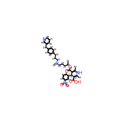 CC1=C(C(=O)O)C(c2cccc([N+](=O)[O-])c2)C(C(=O)OC(C)CCCN(C)CCCc2ccc(Cc3cccnc3)cc2)=C(C)N1